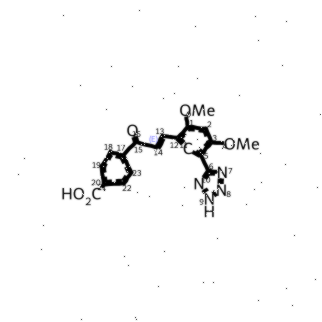 COc1cc(OC)c(-c2nn[nH]n2)cc1/C=C/C(=O)c1ccc(C(=O)O)cc1